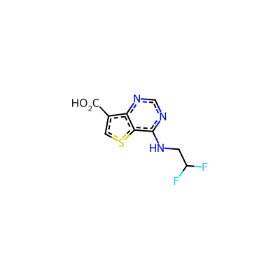 O=C(O)c1csc2c(NCC(F)F)ncnc12